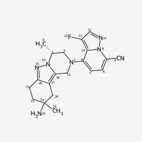 C[C@@H]1CN(c2ccc(C#N)n3ncc(F)c23)Cc2c3c(nn21)CCC(C)(N)C3